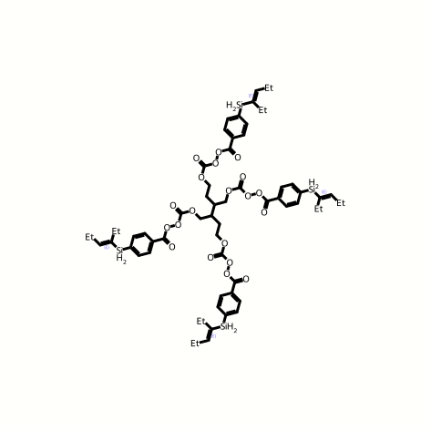 CC/C=C(\CC)[SiH2]c1ccc(C(=O)OOC(=O)OCCC(COC(=O)OOC(=O)c2ccc([SiH2]/C(=C/CC)CC)cc2)C(CCOC(=O)OOC(=O)c2ccc([SiH2]/C(=C/CC)CC)cc2)COC(=O)OOC(=O)c2ccc([SiH2]/C(=C/CC)CC)cc2)cc1